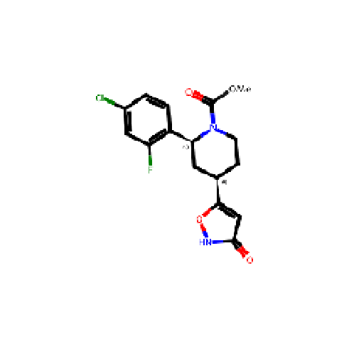 COC(=O)N1CC[C@@H](c2cc(=O)[nH]o2)C[C@H]1c1ccc(Cl)cc1F